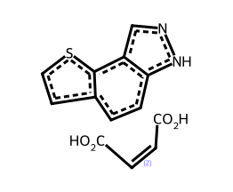 O=C(O)/C=C\C(=O)O.c1cc2ccc3[nH]ncc3c2s1